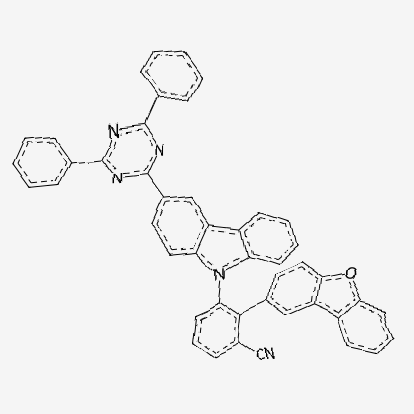 N#Cc1cccc(-n2c3ccccc3c3cc(-c4nc(-c5ccccc5)nc(-c5ccccc5)n4)ccc32)c1-c1ccc2oc3ccccc3c2c1